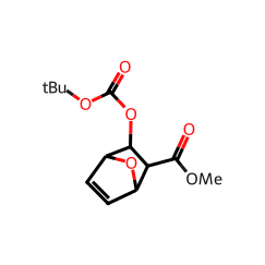 COC(=O)C1C2C=CC(O2)C1OC(=O)OC(C)(C)C